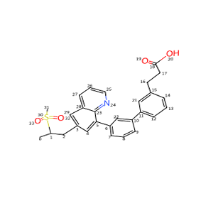 CC(Cc1cc(-c2cccc(-c3cccc(CCC(=O)O)c3)c2)c2ncccc2c1)S(C)(=O)=O